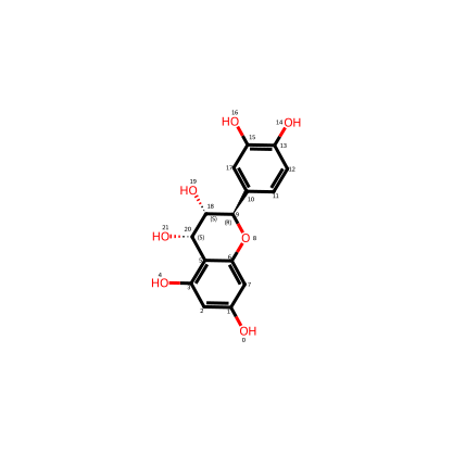 Oc1cc(O)c2c(c1)O[C@H](c1ccc(O)c(O)c1)[C@@H](O)[C@H]2O